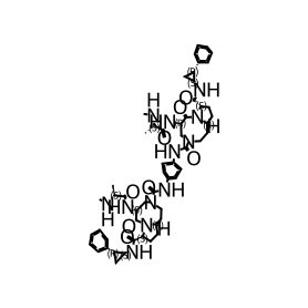 CN[C@@H](C)C(=O)N[C@H]1CN(C(=O)Nc2ccc(NC(=O)N3CC[C@H]4CC[C@@H](C(=O)N[C@H]5C[C@@H]5c5ccccc5)N4C(=O)[C@H](NC(=O)[C@H](C)NC)C3)cc2)CC[C@H]2CC[C@@H](C(=O)N[C@H]3C[C@@H]3c3ccccc3)N2C1=O